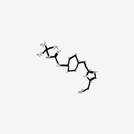 CC(C)(C)NC(=O)OC1CCC(Cc2ncc(CO)s2)CC1